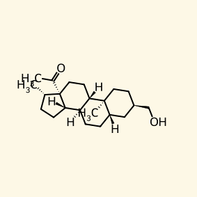 CC(=O)[C@]12CC[C@H]3[C@@H](CC[C@H]4C[C@H](CO)CC[C@@]43C)[C@@H]1CC[C@@H]2C